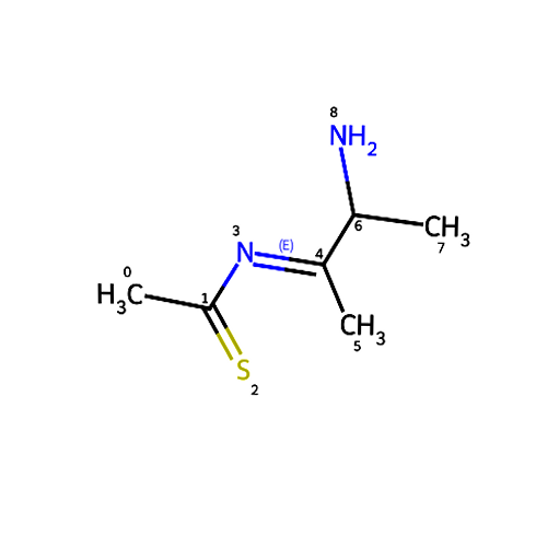 CC(=S)/N=C(\C)C(C)N